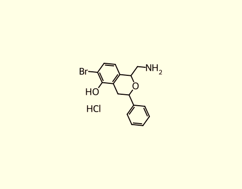 Cl.NCC1OC(c2ccccc2)Cc2c1ccc(Br)c2O